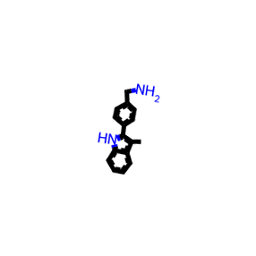 Cc1c(-c2ccc(CN)cc2)[nH]c2ccccc12